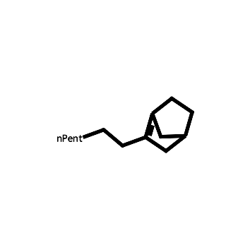 CCCCCCCC1=C2CCC(C1)C2